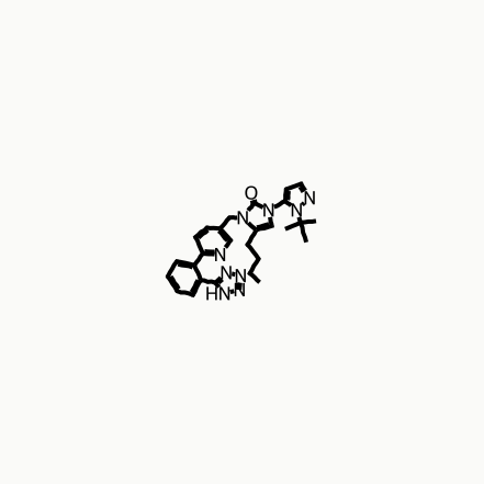 CCCCc1cn(-c2ccnn2C(C)(C)C)c(=O)n1Cc1ccc(-c2ccccc2-c2nnn[nH]2)nc1